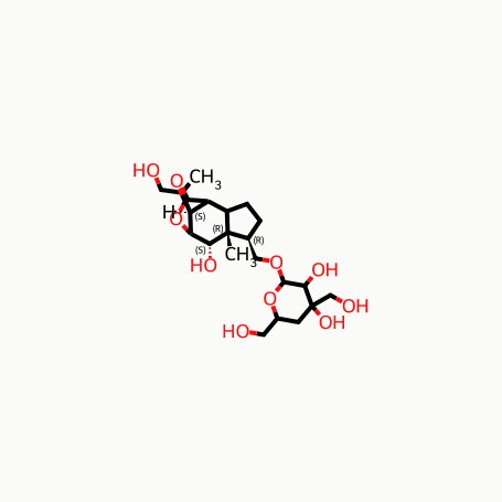 CC(CO)[C@H]1C2C(=O)OC1[C@@H](O)[C@]1(C)C2CC[C@H]1COC1OC(CO)CC(O)(CO)C1O